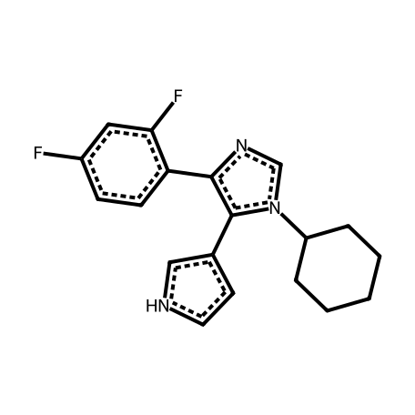 Fc1ccc(-c2ncn(C3CCCCC3)c2-c2cc[nH]c2)c(F)c1